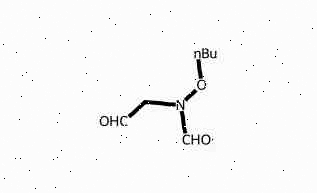 CCCCON([C]=O)CC=O